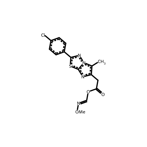 CON=COC(=O)Cc1nc2sc(-c3ccc(Cl)cc3)nn2c1C